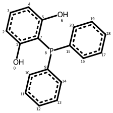 Oc1cccc(O)c1P(c1ccccc1)c1ccccc1